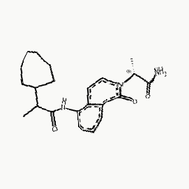 CC(C(=O)Nc1cccc2c(=O)n([C@H](C)C(N)=O)ccc12)C1CCCCCC1